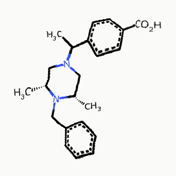 CC(c1ccc(C(=O)O)cc1)N1C[C@@H](C)N(Cc2ccccc2)[C@@H](C)C1